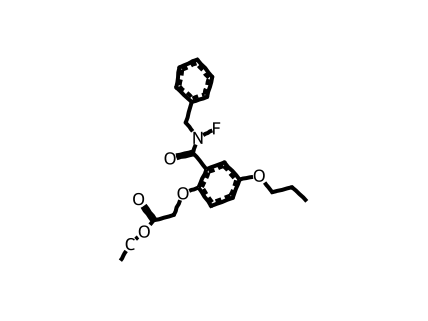 CCCOc1ccc(OCC(=O)OCC)c(C(=O)N(F)Cc2ccccc2)c1